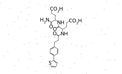 NC(=O)C(CCC(=O)O)NC(=O)C(CCC(=O)O)NC(=O)CCc1ccc(-c2cccs2)cc1